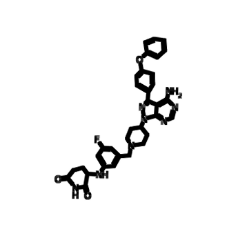 Nc1ncnc2c1c(-c1ccc(Oc3ccccc3)cc1)nn2C1CCN(Cc2cc(F)cc(NC3CCC(=O)NC3=O)c2)CC1